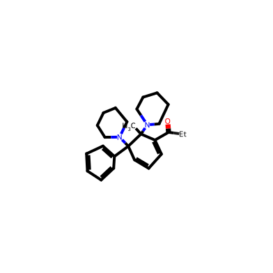 CCC(=O)C1=CC=CC(c2ccccc2)(N2CCCCC2)C1(C)N1CCCCC1